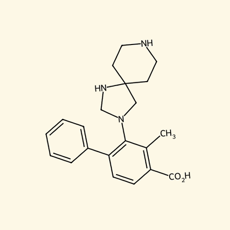 Cc1c(C(=O)O)ccc(-c2ccccc2)c1N1CNC2(CCNCC2)C1